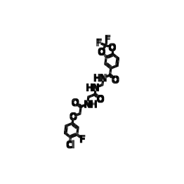 O=C(CNC(=O)COc1ccc(Cl)c(F)c1)NCNC(=O)c1ccc2c(c1)OC(F)(F)O2